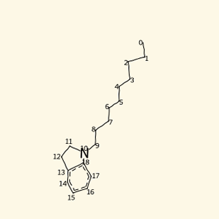 CCCCCCCCCCN1CCc2ccccc21